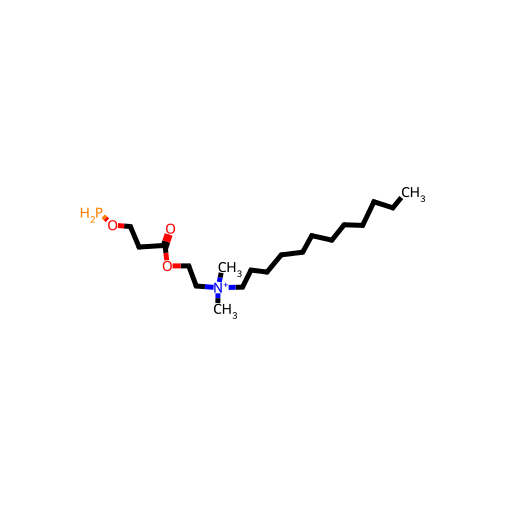 CCCCCCCCCCCC[N+](C)(C)CCOC(=O)CCOP